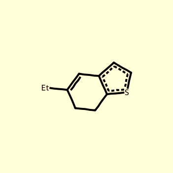 CCC1=Cc2ccsc2CC1